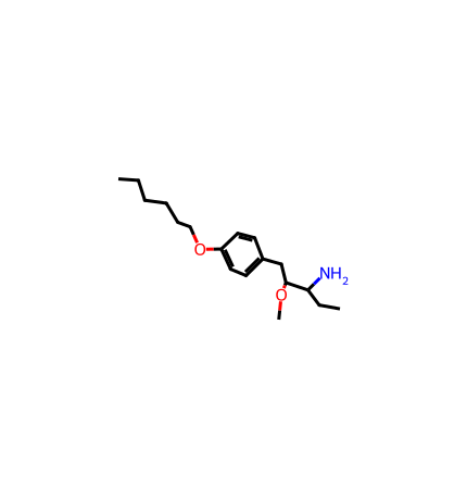 CCCCCCOc1ccc(CC(OC)C(N)CC)cc1